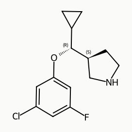 Fc1cc(Cl)cc(O[C@H](C2CC2)[C@H]2CCNC2)c1